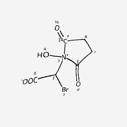 O=C([O-])C(Br)[N+]1(O)C(=O)CC[14C]1=O